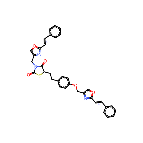 O=C1SC(CCc2ccc(OCc3coc(/C=C/c4ccccc4)n3)cc2)C(=O)N1Cc1coc(/C=C/c2ccccc2)n1